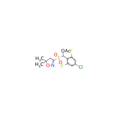 CC(=O)OC(c1c(F)cc(Cl)cc1F)S(=O)(=O)C1=NOC(C)(C)C1